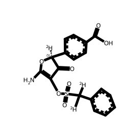 [2H]C([2H])(c1ccccc1)S(=O)(=O)OC1=C(N)O[C@@]([2H])(c2ccc(C(=O)O)cc2)C1=O